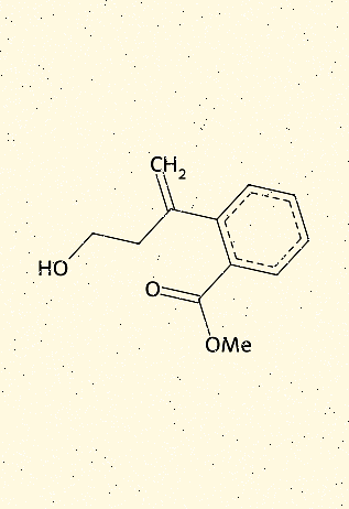 C=C(CCO)c1ccccc1C(=O)OC